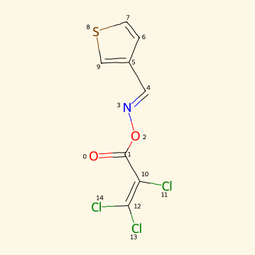 O=C(ON=Cc1ccsc1)C(Cl)=C(Cl)Cl